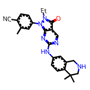 CCn1c(=O)c2cnc(Nc3ccc4c(c3)CNCC4(C)C)nc2n1-c1ccc(C#N)c(C)c1